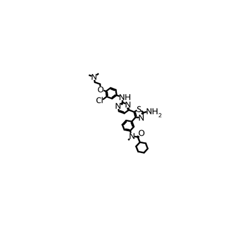 CN(C)CCOc1ccc(Nc2nccc(-c3sc(N)nc3-c3cccc(N(C)C(=O)C4CCCCC4)c3)n2)cc1Cl